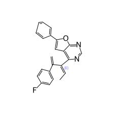 C=C(/C(=C\C)c1ncnc2oc(-c3ccccc3)cc12)c1ccc(F)cc1